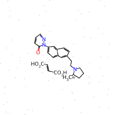 C[C@@H]1CCCN1CCc1ccc2cc(-n3ncccc3=O)ccc2c1.O=C(O)C=CC(=O)O